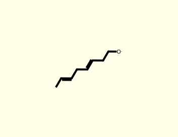 CC=CCC=CCC[O]